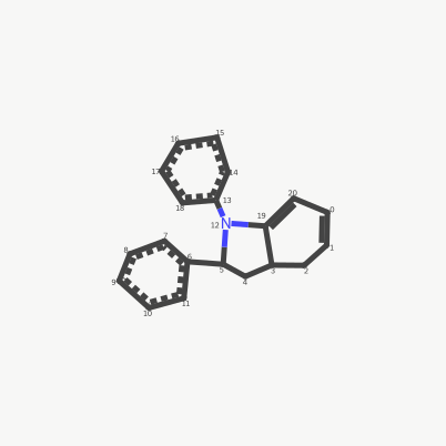 C1=CCC2CC(c3ccccc3)N(c3ccccc3)C2=C1